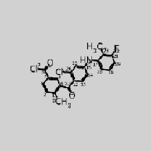 Cc1ccc(C(=O)Cl)cc1C(=O)c1ccc(Nc2cccc(F)c2C)cc1Cl